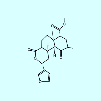 COC(=O)[C@@H]1CC(C)C(=O)[C@H]2[C@@]1(C)CCC1C(=O)O[C@@H](c3ccoc3)C[C@@]12C